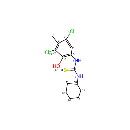 Cc1c(Cl)cc(NC(=S)NC2CCCCC2)c(O)c1Cl